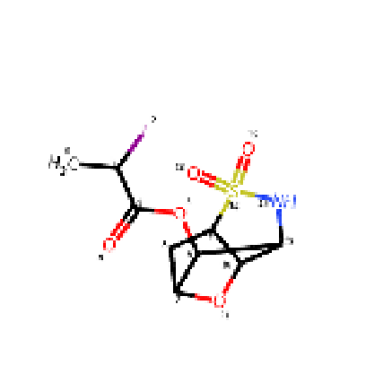 CC(I)C(=O)OC1C2CC3C(O2)C1NS3(=O)=O